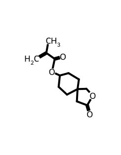 C=C(C)C(=O)OC1CCC2(CC1)COC(=O)C2